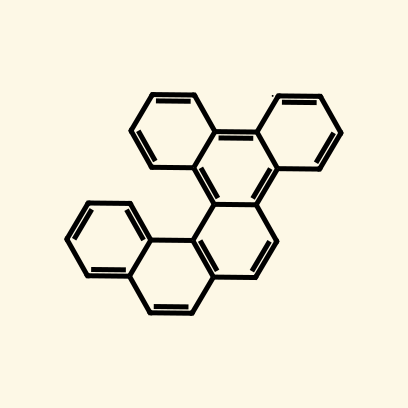 [c]1cccc2c1c1ccccc1c1c2ccc2ccc3ccccc3c21